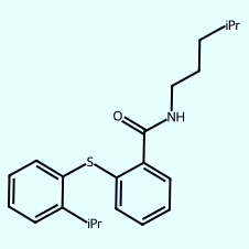 CC(C)CCCNC(=O)c1ccccc1Sc1ccccc1C(C)C